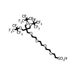 O=S(=O)(O)CCOCCOCCOCCOCC(COC(C(F)(F)F)(C(F)(F)F)C(F)(F)F)(COC(C(F)(F)F)(C(F)(F)F)C(F)(F)F)COC(C(F)(F)F)(C(F)(F)F)C(F)(F)F